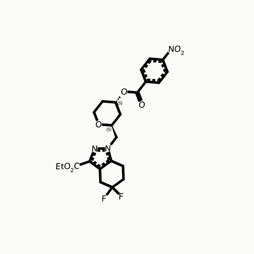 CCOC(=O)c1nn(C[C@@H]2C[C@@H](OC(=O)c3ccc([N+](=O)[O-])cc3)CCO2)c2c1CC(F)(F)CC2